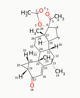 CC(=O)O[C@]1(C(C)=O)CC[C@H]2[C@@H]3C[C@H](C)C4=CC(=O)[C@@H]5C[C@@H]5[C@]4(C)[C@H]3CC[C@@]21C